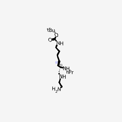 CCCN[C@@H](/C=C/CCCNC(=O)OC(C)(C)C)CNCCN